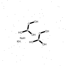 OOB(O)O.OOB(O)O.[KH].[NaH]